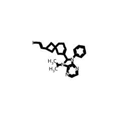 CC(C)N1c2nccnc2N(c2ccccc2)C1C1=CCCC2(C1)CC(/C=C/I)C2